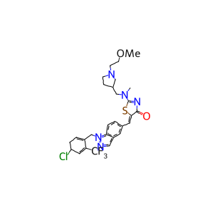 COCCN1CCC(CN(C)C2=NC(=O)/C(=C/c3ccc4c(cnn4CC4=CCC(Cl)C=C4C(F)(F)F)c3)S2)C1